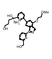 COCCOc1cc(-c2cccc([C@](N)(O)CCCO)n2)cc2c1cnn2-c1cccc(CO)n1